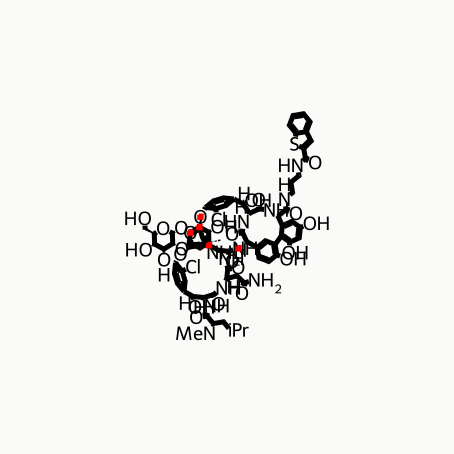 CN[C@H](CC(C)C)C(=O)N[C@H]1C(=O)N[C@@H](CC(N)=O)C(=O)NC2C(=O)N[C@H]3C(=O)N[C@H](C(=O)NC(C(=O)NCCCNC(=O)c4cc5ccccc5s4)c4cc(O)cc(O)c4-c4cc3ccc4O)[C@H](O)c3ccc(c(Cl)c3)Oc3cc2cc(c3O[C@@H]2O[C@H](CO)[C@@H](O)[C@H](O)[C@H]2OC2C[C@](C)(N)[C@H](O)[C@H](C)O2)Oc2ccc(cc2Cl)[C@H]1O